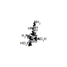 Cc1nn(C[C@@H]2[C@H](NC(=O)/C(=N\OC3(C(=O)O)CC3)c3csc(N)n3)C(=O)N2S(=O)(=O)O)nc1CNC(=N)NCCCN